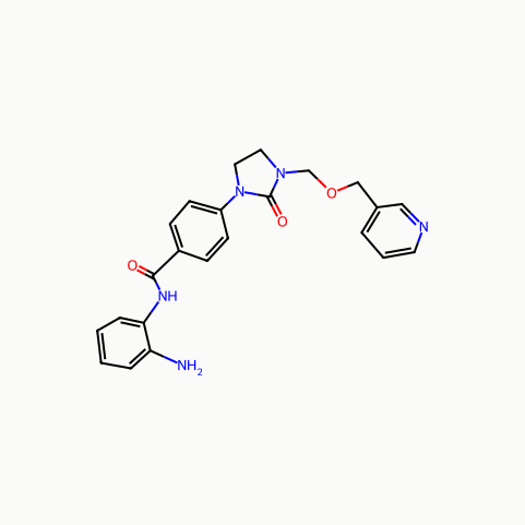 Nc1ccccc1NC(=O)c1ccc(N2CCN(COCc3cccnc3)C2=O)cc1